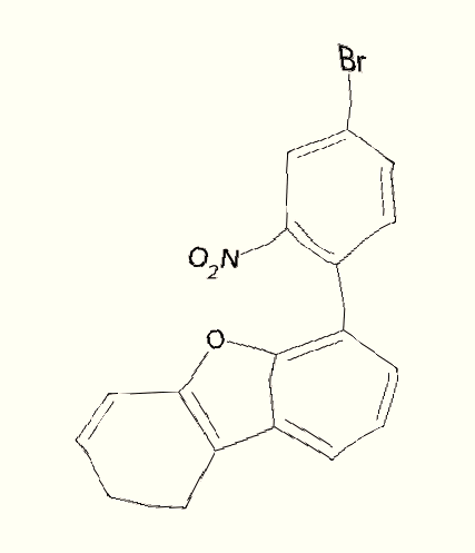 O=[N+]([O-])c1cc(Br)ccc1-c1cccc2c3c(oc12)C=CCC3